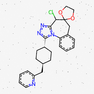 ClC1c2nnc([C@H]3CC[C@H](Cc4ccccn4)CC3)n2-c2ccccc2CC12OCCO2